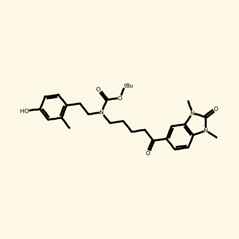 Cc1cc(O)ccc1CCN(CCCCC(=O)c1ccc2c(c1)n(C)c(=O)n2C)C(=O)OC(C)(C)C